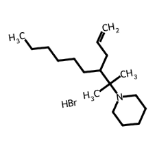 Br.C=CCC(CCCCCC)C(C)(C)N1CCCCC1